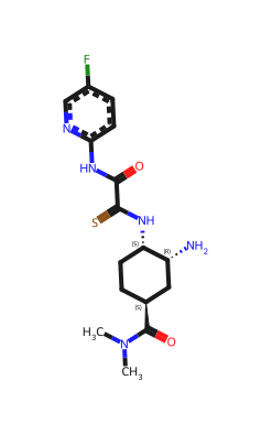 CN(C)C(=O)[C@H]1CC[C@H](NC(=S)C(=O)Nc2ccc(F)cn2)[C@H](N)C1